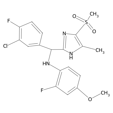 COc1ccc(NC(c2ccc(F)c(Cl)c2)c2nc(S(C)(=O)=O)c(C)[nH]2)c(F)c1